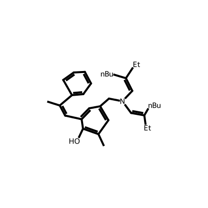 CCCCC(=CN(C=C(CC)CCCC)Cc1cc(C)c(O)c(C=C(C)c2ccccc2)c1)CC